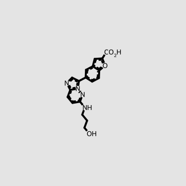 O=C(O)c1cc2cc(-c3cnc4ccc(NCCCO)nn34)ccc2o1